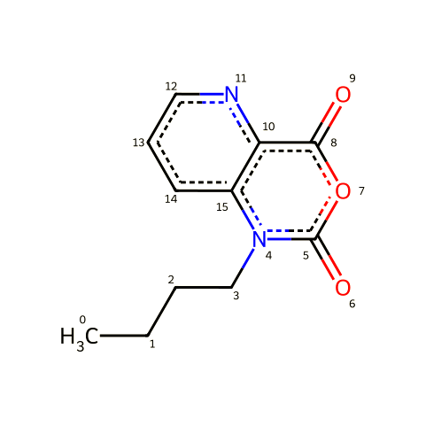 CCCCn1c(=O)oc(=O)c2ncccc21